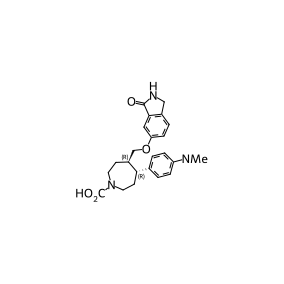 CNc1ccc([C@@H]2CCN(C(=O)O)CC[C@H]2COc2ccc3c(c2)C(=O)NC3)cc1